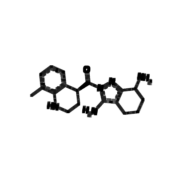 Cc1cccc2c1NCC[C@@H]2C(=O)n1nc2c(c1N)CCCC2N